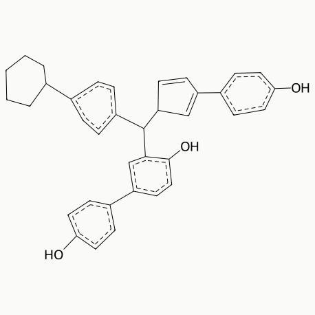 Oc1ccc(C2=CC(C(c3ccc(C4CCCCC4)cc3)c3cc(-c4ccc(O)cc4)ccc3O)C=C2)cc1